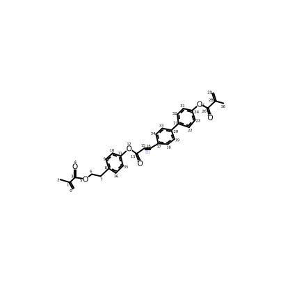 C=C(C)C(=O)OCCc1ccc(OC(=O)/C=C/c2ccc(-c3ccc(OC(=O)C(=C)C)cc3)cc2)cc1